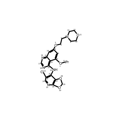 CC(C)Oc1cc(OCCN2CCOCC2)cc2ncnc(Nc3c(Cl)cnc4c3OCO4)c12